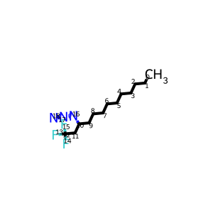 CCCCCCCCCCC(CC(F)(F)F)N=[N+]=[N-]